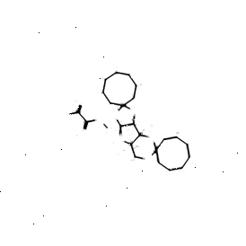 C=C(C)C(=O)OC[C@@]12O[C@@H]3COC4(CCCCCCC4)O[C@H]3[C@@H]1OC1(CCCCCCC1)O2